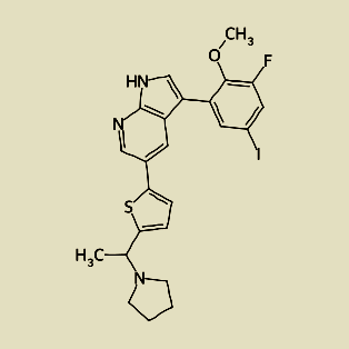 COc1c(F)cc(I)cc1-c1c[nH]c2ncc(-c3ccc(C(C)N4CCCC4)s3)cc12